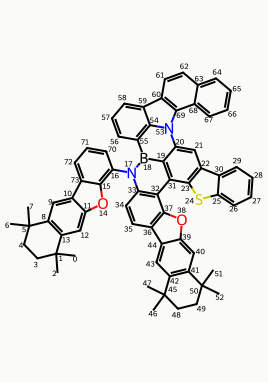 CC1(C)CCC(C)(C)c2cc3c(cc21)oc1c(N2B4c5c(cc6c(sc7ccccc76)c5-c5c2ccc2c5oc5cc6c(cc52)C(C)(C)CCC6(C)C)-n2c5c4cccc5c4ccc5ccccc5c42)cccc13